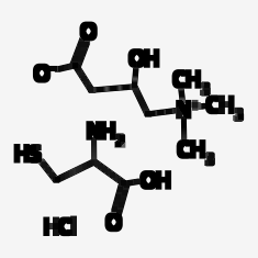 C[N+](C)(C)CC(O)CC(=O)[O-].Cl.NC(CS)C(=O)O